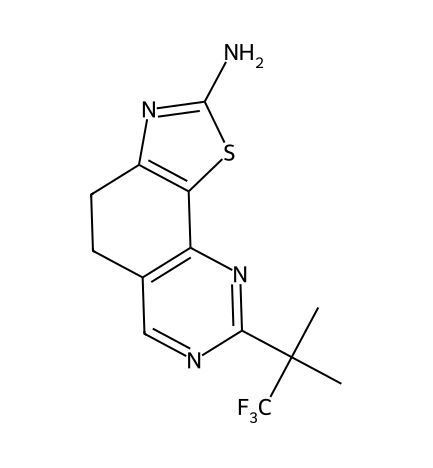 CC(C)(c1ncc2c(n1)-c1sc(N)nc1CC2)C(F)(F)F